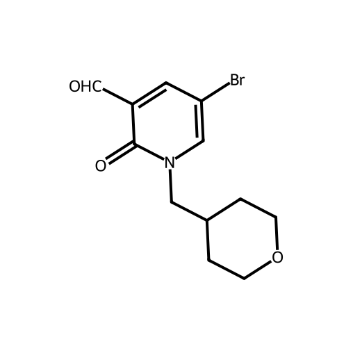 O=Cc1cc(Br)cn(CC2CCOCC2)c1=O